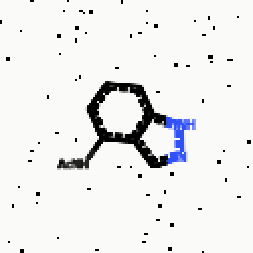 CC(=O)Nc1cccc2[nH]ncc12